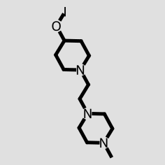 CN1CCN(CCN2CCC(OI)CC2)CC1